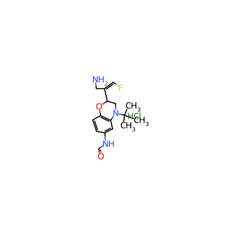 CC(C)(C)N1CC(/C(=C\F)CN)Oc2ccc(NC=O)cc21.Cl